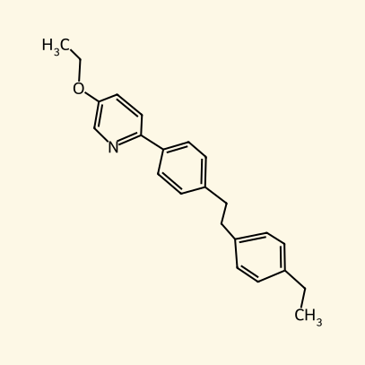 CCOc1ccc(-c2ccc(CCc3ccc(CC)cc3)cc2)nc1